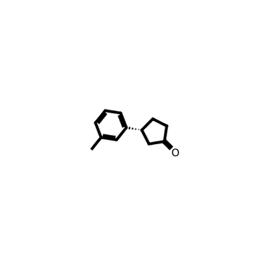 Cc1cccc([C@@H]2CCC(=O)C2)c1